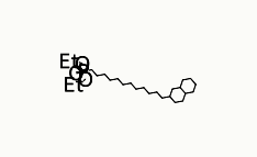 CCOP(=O)(CCCCCCCCCCCCC1CCC2CCCCC2C1)OCC